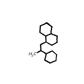 CC(CC1CCCC2CCCCC21)C1CCCCC1